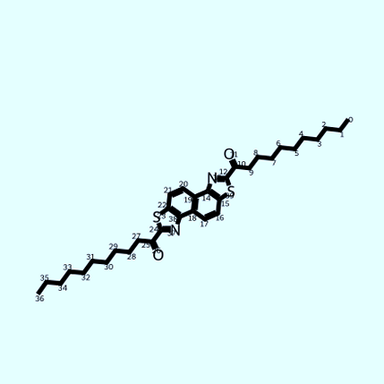 CCCCCCCCCCC(=O)c1nc2c(ccc3c2ccc2sc(C(=O)CCCCCCCCCC)nc23)s1